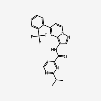 CC(C)c1nccc(C(=O)Nc2cnn3ccc(-c4ccccc4C(F)(F)F)nc23)n1